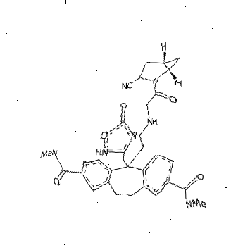 CNC(=O)c1ccc2c(c1)CCc1cc(C(=O)NC)ccc1C2(C[C@H](C)NCC(=O)N1C(C#N)C[C@@H]2C[C@@H]21)c1nc(=O)o[nH]1